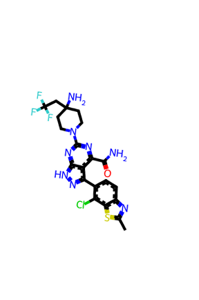 Cc1nc2ccc(-c3n[nH]c4nc(N5CCC(N)(CC(F)(F)F)CC5)nc(C(N)=O)c34)c(Cl)c2s1